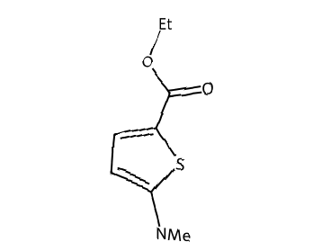 CCOC(=O)c1ccc(NC)s1